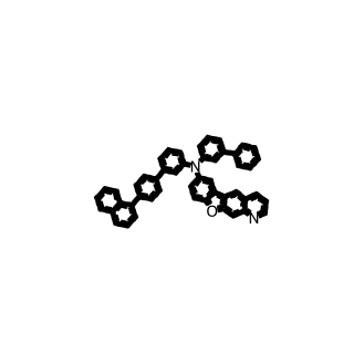 c1ccc(-c2cccc(N(c3cccc(-c4ccc(-c5cccc6ccccc56)cc4)c3)c3ccc4oc5cc6ncccc6cc5c4c3)c2)cc1